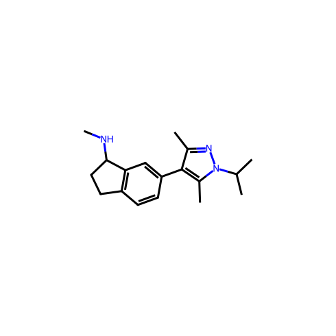 CNC1CCc2ccc(-c3c(C)nn(C(C)C)c3C)cc21